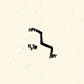 CCCCCCCCC.[TeH2]